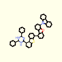 C1=CC(C2=NC(c3ccccc3)NC(c3ccccc3)N2)C2C(=C1)Sc1c(-c3cccc4oc5c(-n6c7ccccc7c7ccccc76)cccc5c34)cccc12